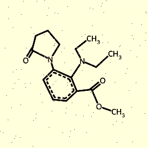 CCN(CC)c1c(C(=O)OC)cccc1N1CCCC1=O